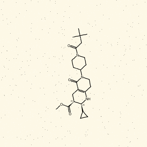 COC(=O)[C@H]1CC2=C(CCN(C3CCN(C(=O)CC(C)(C)C)CC3)C2=O)N[C@H]1C1CC1